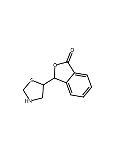 O=C1OC(C2CNCS2)c2ccccc21